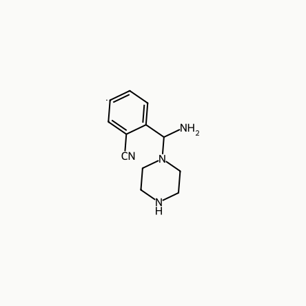 N#Cc1c[c]ccc1C(N)N1CCNCC1